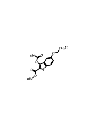 CCCCOC(=O)c1sc2ccc(OCC(=O)OCC)cc2c1OC(=O)C(C)(C)C